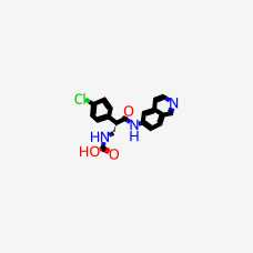 O=C(O)NC[C@@H](C(=O)Nc1ccc2cnccc2c1)c1ccc(Cl)cc1